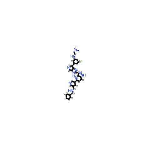 CN(C)CCNc1cc(F)cc(-c2cncc3[nH]c(-c4n[nH]c5ccc(-c6cncc(CNCc7ccccc7)c6)nc45)nc23)c1